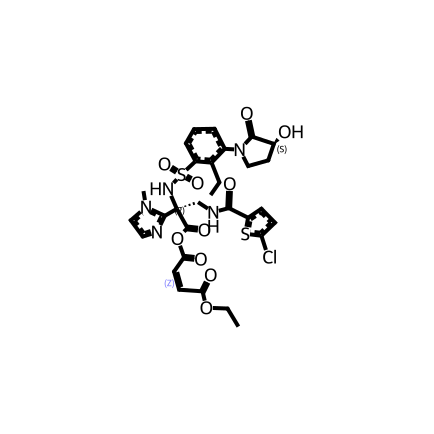 CCOC(=O)/C=C\C(=O)OC(=O)[C@](CNC(=O)c1ccc(Cl)s1)(NS(=O)(=O)c1cccc(N2CC[C@H](O)C2=O)c1CC)c1nccn1C